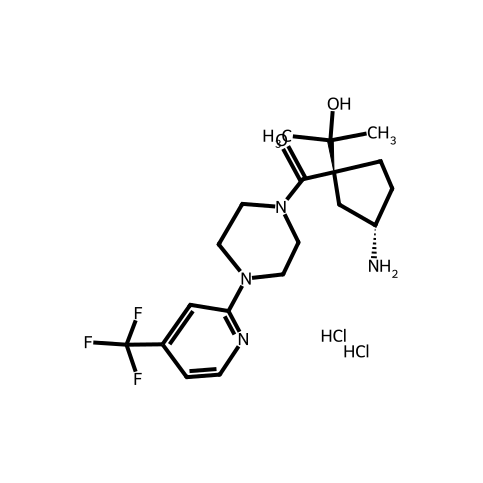 CC(C)(O)[C@@]1(C(=O)N2CCN(c3cc(C(F)(F)F)ccn3)CC2)CC[C@H](N)C1.Cl.Cl